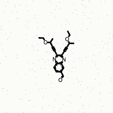 CCOC(C)C#Cc1nc2ccc(C=O)cc2nc1C#CC(C)OCC